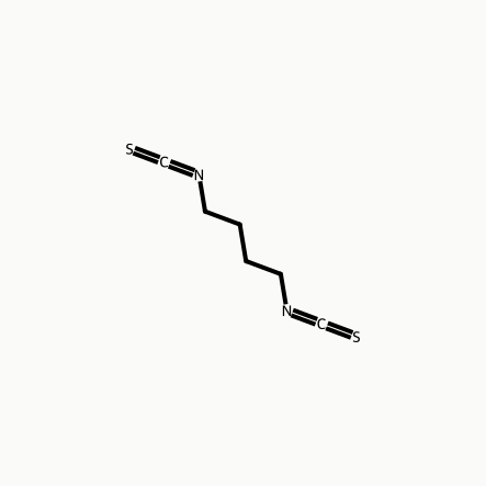 S=C=NCCCCN=C=S